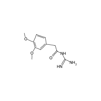 COc1ccc(CC(=O)NC(=N)N)cc1OC